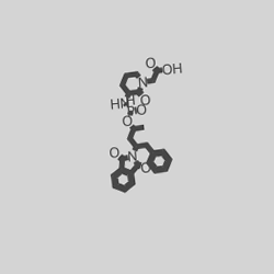 CC(CC(Cc1ccccc1)N1C(=O)c2ccccc2C1=O)O[PH](=O)NC1CCCN(CC(=O)O)C1=O